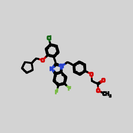 COC(=O)COc1ccc(Cn2c(-c3ccc(Cl)cc3OCC3CCCC3)nc3cc(F)c(F)cc32)cc1